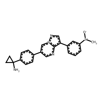 C[S+]([O-])c1cccc(-c2cnn3cc(-c4ccc(C5(N)CC5)cc4)cnc23)c1